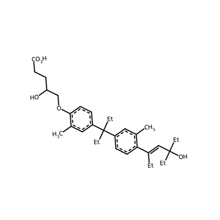 CCC(=CC(O)(CC)CC)c1ccc(C(CC)(CC)c2ccc(OCC(O)CCC(=O)O)c(C)c2)cc1C